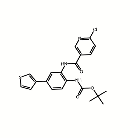 CC(C)(C)OC(=O)Nc1ccc(-c2ccsc2)cc1NC(=O)c1ccc(Cl)nc1